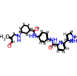 C=C(C=O)CN[C@H]1CCC[C@@H](C(=O)Nc2ccc(NC(=O)c3cccc(-c4ccn[nH]4)n3)cc2)C1